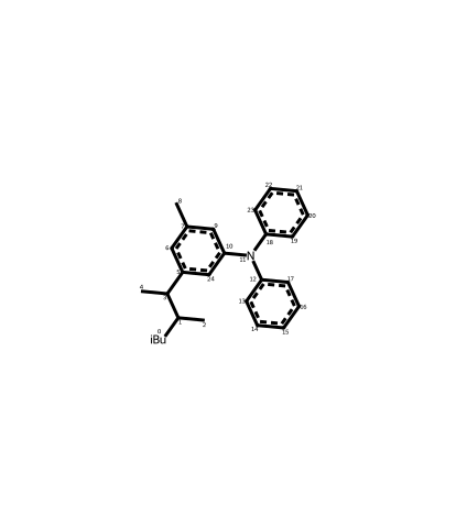 CCC(C)C(C)C(C)c1cc(C)cc(N(c2ccccc2)c2ccccc2)c1